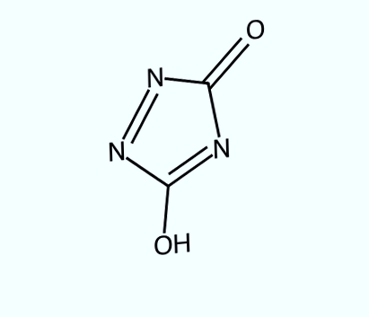 O=C1N=NC(O)=N1